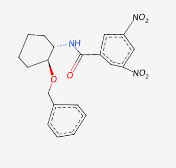 O=C(N[C@H]1CCCC[C@@H]1OCc1ccccc1)c1cc([N+](=O)[O-])cc([N+](=O)[O-])c1